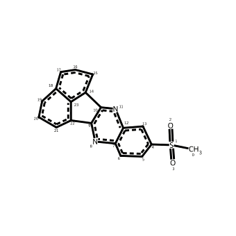 CS(=O)(=O)c1ccc2nc3c(nc2c1)-c1cccc2cccc-3c12